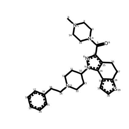 CN1CCN(C(=O)c2nn(C3CCN(CCc4ccccc4)CC3)c3c2CCc2sccc2-3)CC1